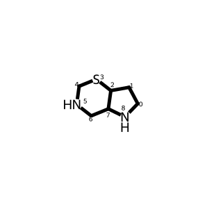 C1CC2SCNCC2N1